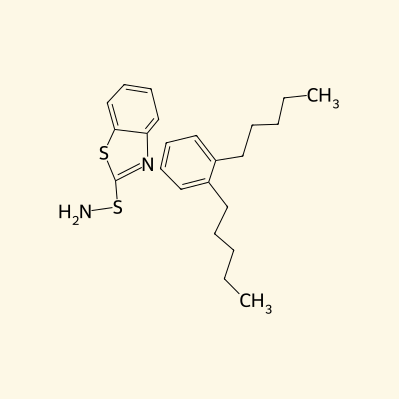 CCCCCc1ccccc1CCCCC.NSc1nc2ccccc2s1